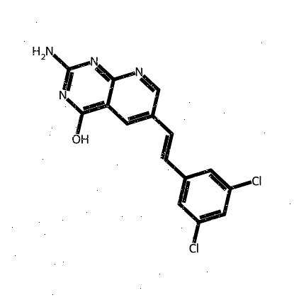 Nc1nc(O)c2cc(C=Cc3cc(Cl)cc(Cl)c3)cnc2n1